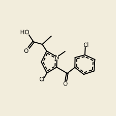 CC(C(=O)O)c1cc(Cl)c(C(=O)c2cccc(Cl)c2)n1C